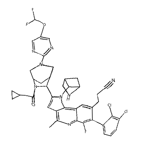 Cc1nc2c(F)c(-c3cccc(Cl)c3Cl)c(CCC#N)cc2c2c1cc(C1C3CC(CN(c4ncc(OC(F)F)cn4)C3)N1C(=O)C1CC1)n2C1C2CNC1C2